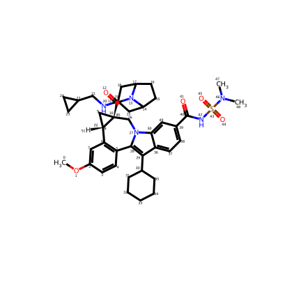 COc1ccc2c(c1)[C@@H]1C[C@]1(C(=O)N1C3CCC1CC(NCC1CC1)C3)Cn1c-2c(C2CCCCC2)c2ccc(C(=O)NS(=O)(=O)N(C)C)cc21